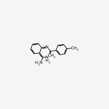 C=C(/N=C1/C=CC=CC1=C(N)N)c1ccc(C)cc1